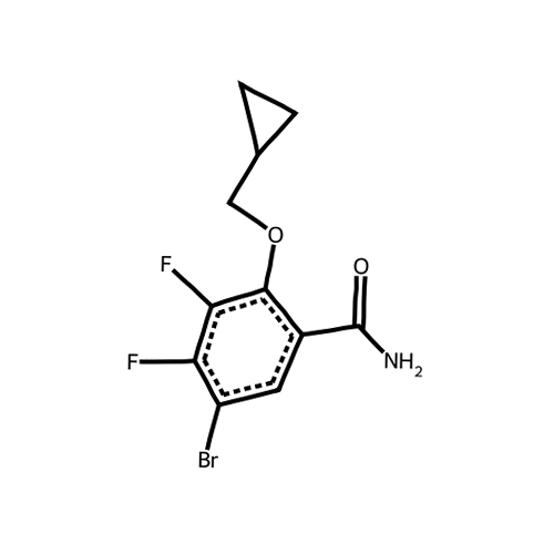 NC(=O)c1cc(Br)c(F)c(F)c1OCC1CC1